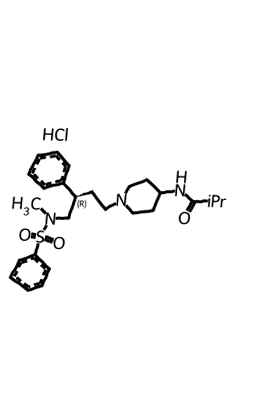 CC(C)C(=O)NC1CCN(CC[C@@H](CN(C)S(=O)(=O)c2ccccc2)c2ccccc2)CC1.Cl